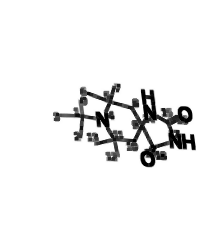 CC(C)(C)N1C(C)(C)CC2(CC1(C)C)NC(=O)NC2=O